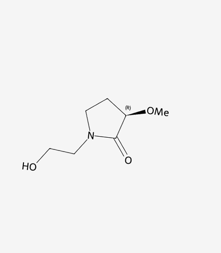 CO[C@@H]1CCN(CCO)C1=O